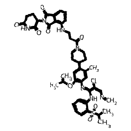 C=N/C=C(Cl)\C(=N/c1cc(C)c(C2CCN(C(=O)CCNc3cccc4c3C(=O)N(C3CCC(=O)NC3=O)C4=O)CC2)cc1OC(C)C)Nc1ccccc1S(=O)(=O)C(C)C